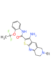 CCN1CCc2nc3sc(C(=O)Nc4ccccc4OC(C)(F)F)c(N)c3cc2C1